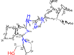 COc1cc(-n2cnc(Nc3cc4ccccc4c(N4CCC[C@@H]4CO)n3)c2)cc(OC)c1OC